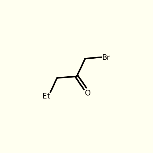 CCCC(=O)CBr